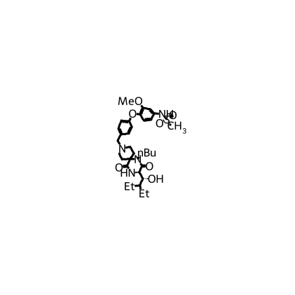 CCCCN1C(=O)[C@@H]([C@H](O)C(CC)CC)NC(=O)C12CCN(Cc1ccc(Oc3ccc(NS(C)(=O)=O)cc3OC)cc1)CC2